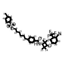 Cc1ccc(S(=O)(=O)OCCCCCCc2ccc(C(=O)N[C@H]3C(C)(C)[C@H](Oc4ccc(C#N)c(C(F)(F)F)c4)C3(C)C)cc2)cc1